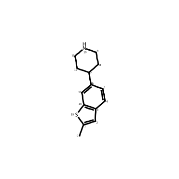 Cc1cc2ccc(C3CCNCC3)cc2s1